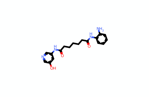 Nc1ccccc1NC(=O)CCCCCC(=O)Nc1cncc(O)c1